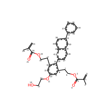 C=C(C)C(=O)OCCc1cc(OCCO)cc(CCOC(=O)C(=C)C)c1-c1ccc2cc(-c3ccccc3)ccc2c1